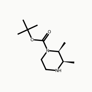 C[C@H]1NCCN(C(=O)OC(C)(C)C)[C@H]1C